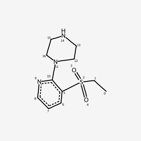 CCS(=O)(=O)c1cccnc1N1CCNCC1